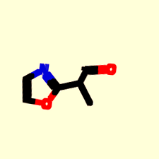 CC([C]=O)c1ncco1